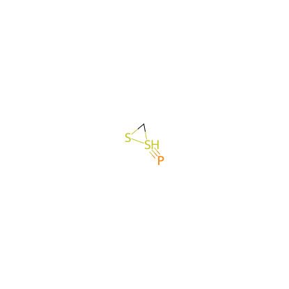 P#[SH]1CS1